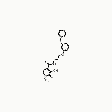 Cn1ccc(C(=O)NCCCOc2cccc(Oc3ccccc3)c2)c(O)c1=O